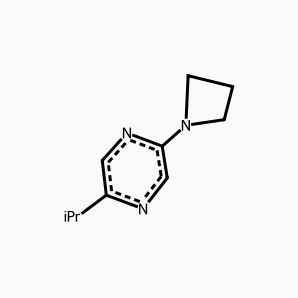 CC(C)c1cnc(N2CCC2)cn1